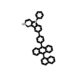 C1=Cc2c(c3cc(-c4ccc(-c5c6ccccc6c(-c6cccc7ccccc67)c6ccccc56)cc4)ccc3n2-c2ccccc2)CN1